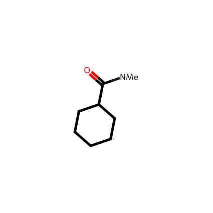 CNC(=O)C1C[CH]CCC1